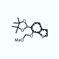 COCOc1c(B2OC(C)(C)C(C)(C)O2)ccc2ccsc12